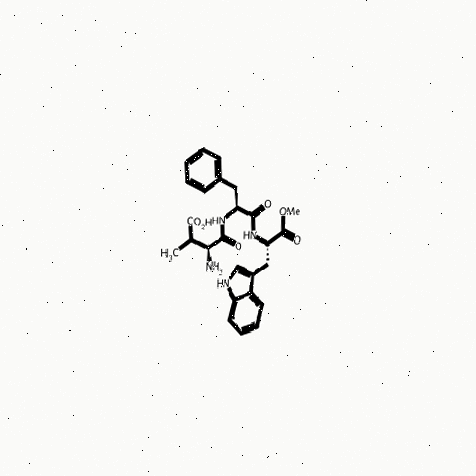 COC(=O)[C@H](Cc1c[nH]c2ccccc12)NC(=O)[C@H](Cc1ccccc1)NC(=O)[C@@H](N)C(C)C(=O)O